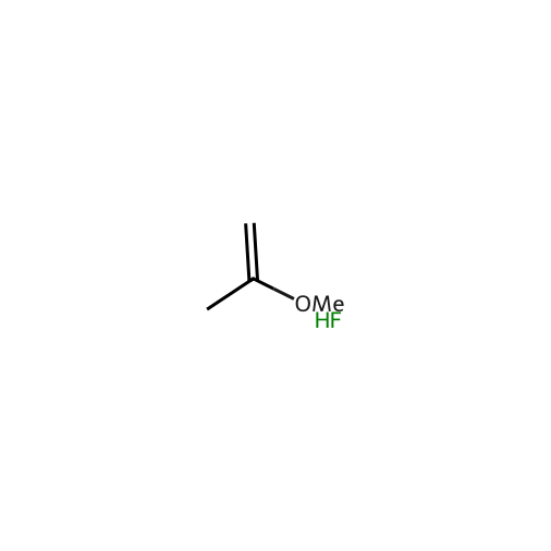 C=C(C)OC.F